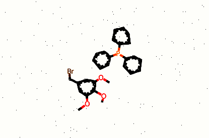 COc1cc(CBr)cc(OC)c1OC.c1ccc(P(c2ccccc2)c2ccccc2)cc1